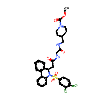 CC(C)(C)OC(=O)N1CCC(CNC(=O)CNC(=O)CC2c3ccccc3-c3ccccc3N2S(=O)(=O)c2ccc(Cl)c(Cl)c2)CC1